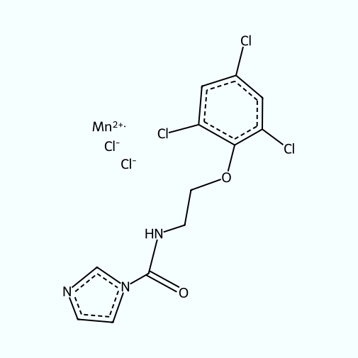 O=C(NCCOc1c(Cl)cc(Cl)cc1Cl)n1ccnc1.[Cl-].[Cl-].[Mn+2]